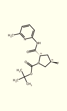 Cc1cccc(NC(=O)[C@@H]2C[C@@H](F)CN2C(=O)OC(C)(C)C)n1